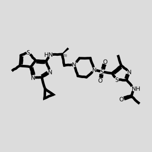 CC(=O)Nc1nc(C)c(S(=O)(=O)N2CCN(C[C@H](C)Nc3nc(C4CC4)nc4c(C)csc34)CC2)s1